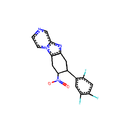 O=[N+]([O-])C1Cc2c(nc3cnccn23)CC1c1cc(F)c(F)cc1F